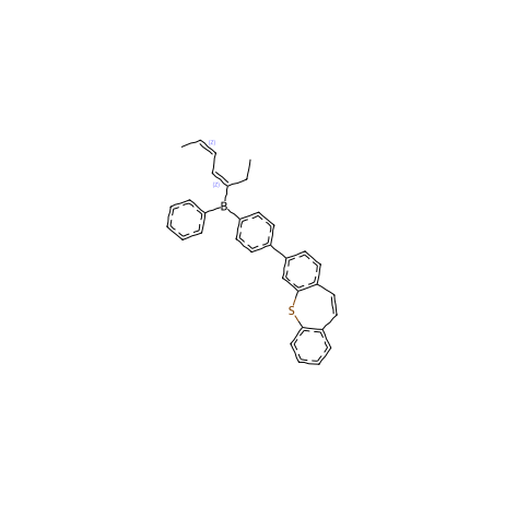 C/C=C\C=C(/CC)B(c1ccccc1)c1ccc(-c2ccc3c(c2)Sc2ccccc2C=C3)cc1